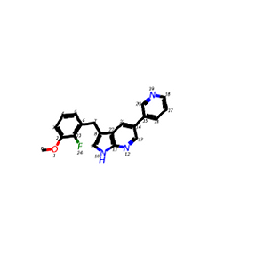 COc1cccc(Cc2c[nH]c3ncc(-c4cccnc4)cc23)c1F